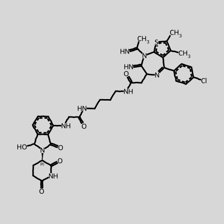 CC(=N)N1C(=N)C(CC(=O)NCCCCNC(=O)CNc2cccc3c2C(=O)N([C@@H]2CCC(=O)NC2=O)C3O)N=C(c2ccc(Cl)cc2)c2c1sc(C)c2C